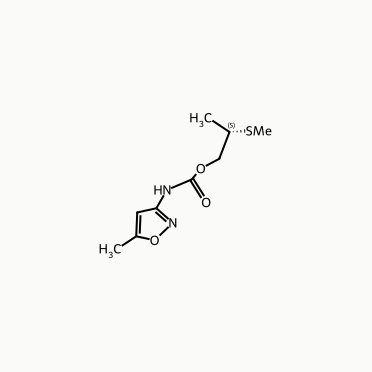 CS[C@@H](C)COC(=O)Nc1cc(C)on1